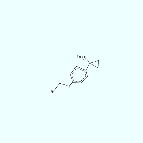 [2H]COc1ccc(C2(C(=O)OCC)CC2)cc1